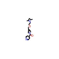 CC1CC(C)N1CCOCC1C2CN(C(=O)c3ccncc3)CC12